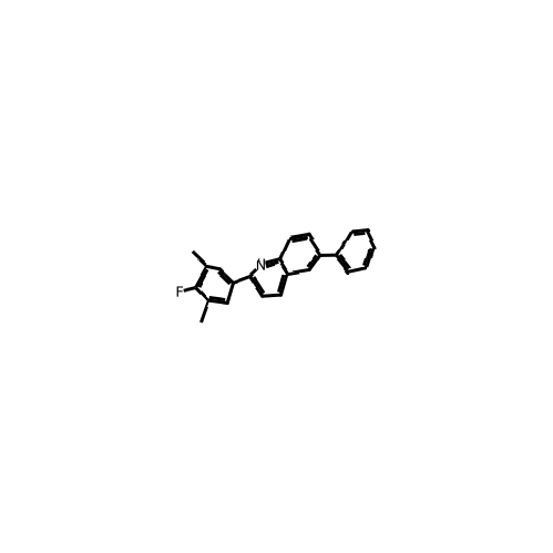 Cc1cc(-c2ccc3cc(-c4ccccc4)ccc3n2)cc(C)c1F